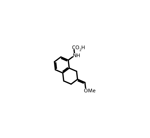 COC=C1CCc2cccc(NC(=O)O)c2C1